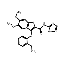 CCc1ccccc1Sc1c(C(=O)Nc2nnn[nH]2)sc2cc(OC)c(OC)cc12